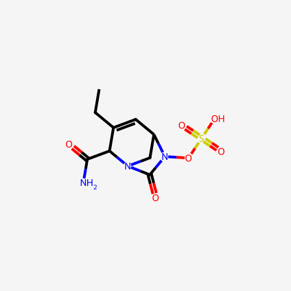 CCC1=CC2CN(C(=O)N2OS(=O)(=O)O)C1C(N)=O